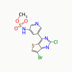 COS(=O)(=O)Nc1cncc(-c2nc(Cl)nc3c(Br)csc23)c1